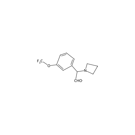 O=[C]C(c1cccc(OC(F)(F)F)c1)N1CCC1